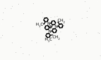 C=Cc1ccccc1N1c2cccc3c2P2(=O)c4c1cccc4N(c1cccc(C)c1C=C)c1cccc(c12)N3c1ccccc1C=C